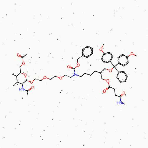 CNC(=O)CCC(=O)OCC(CCCCN(CCOCCOCCOC1OC(COC(C)=O)C(C)C(C)C1NC(C)=O)C(=O)OCc1ccccc1)COC(c1ccccc1)(c1ccc(OC)cc1)c1ccc(OC)cc1